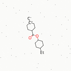 [CH2-][C+]1CCC(C(=O)OC2CCC(CC)CC2)CC1